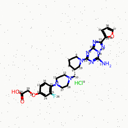 Cl.Nc1nc(N2CCC[C@@H](CN3CCN(c4ccc(OCC(=O)O)cc4F)CC3)C2)nc2nc(-c3ccco3)nn12